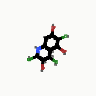 Clc1nc2cc(Br)c(Cl)c(Br)c2c(Cl)c1Br